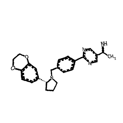 CC(=N)c1cnc(-c2ccc(CN3CCC[C@@H]3c3ccc4c(c3)OCCO4)cc2)nc1